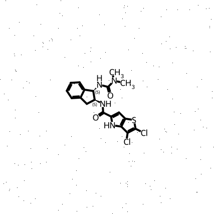 CN(C)C(=O)N[C@H]1c2ccccc2C[C@@H]1NC(=O)c1cc2sc(Cl)c(Cl)c2[nH]1